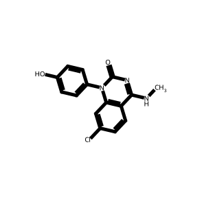 CNc1nc(=O)n(-c2ccc(O)cc2)c2cc(Cl)ccc12